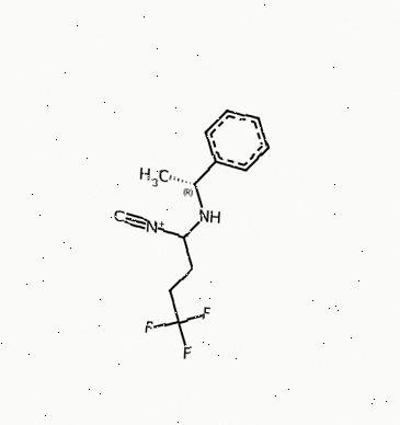 [C-]#[N+]C(CCC(F)(F)F)N[C@H](C)c1ccccc1